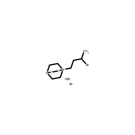 Br.CC(Br)CC[N+]12CCN(CC1)CC2.[Br-]